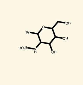 CC(C)C1OC(CO)C(O)C(O)C1NS(=O)(=O)O